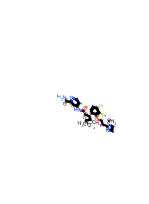 C[C@H]1[C@@H](c2ccc(F)c(F)c2OCCc2nccn2C)[C@H](C(=O)Nc2ccnc(C(N)=O)c2)O[C@@]1(C)C(F)(F)F